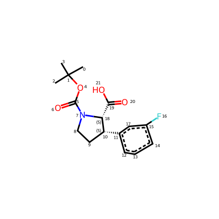 CC(C)(C)OC(=O)N1CC[C@@H](c2cccc(F)c2)[C@H]1C(=O)O